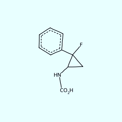 O=C(O)NC1CC1(F)c1ccccc1